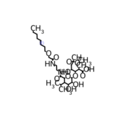 CCCC/C=C/CCOCC(=O)NCCNC(=O)C1OC(OC(C(C)C(=O)O)C(O)C2OC2(C)OC)C(O)C(O)C1C(C)C